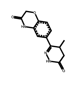 CC1CC(=O)NN=C1c1ccc2c(c1)NC(=O)CO2